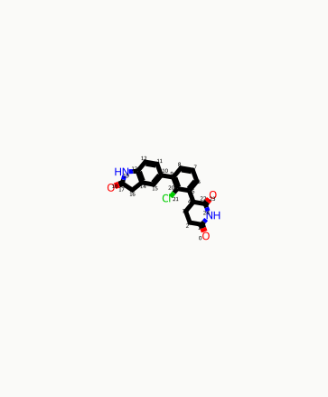 O=C1CCC(c2cccc(-c3ccc4c(c3)CC(=O)N4)c2Cl)C(=O)N1